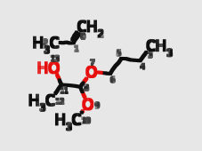 C=CC.CCCCOC(OC)C(C)O